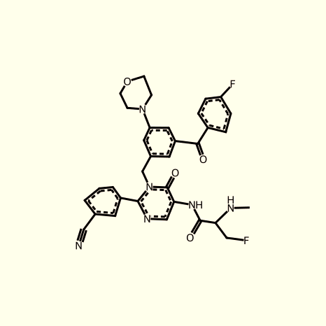 CNC(CF)C(=O)Nc1cnc(-c2cccc(C#N)c2)n(Cc2cc(C(=O)c3ccc(F)cc3)cc(N3CCOCC3)c2)c1=O